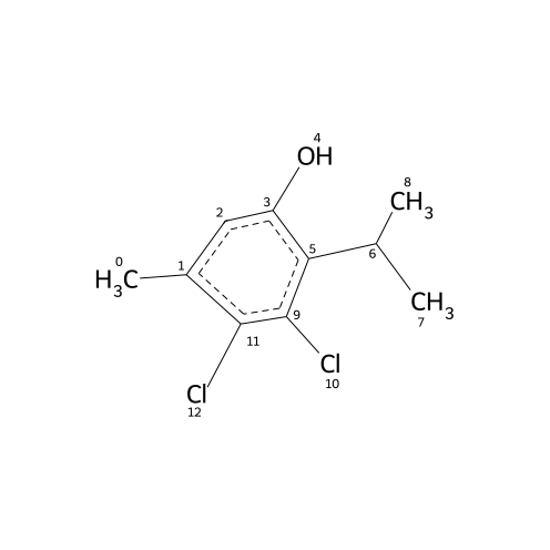 Cc1cc(O)c(C(C)C)c(Cl)c1Cl